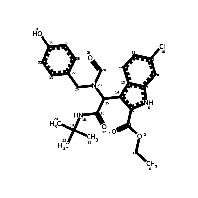 CCOC(=O)c1[nH]c2cc(Cl)ccc2c1C(C(=O)NC(C)(C)C)N(C=O)Cc1ccc(O)cc1